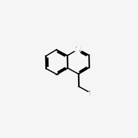 ICc1ccnc2ccccc12